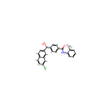 Cc1ccccc1NC(=O)c1ccc(C(O)c2ccc3ccc(Br)cc3c2)cc1